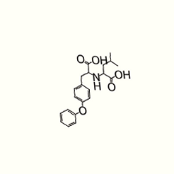 CC(C)CC(NC(Cc1ccc(Oc2ccccc2)cc1)C(=O)O)C(=O)O